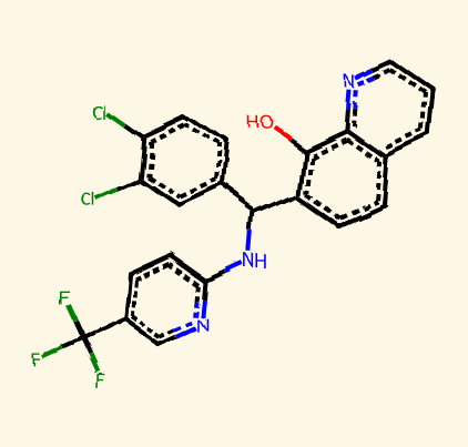 Oc1c(C(Nc2ccc(C(F)(F)F)cn2)c2ccc(Cl)c(Cl)c2)ccc2cccnc12